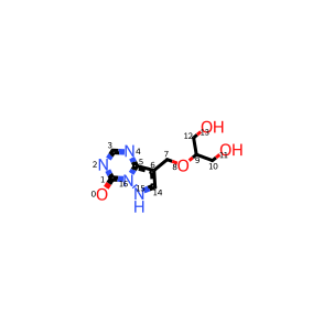 O=c1ncnc2c(COC(CO)CO)c[nH]n12